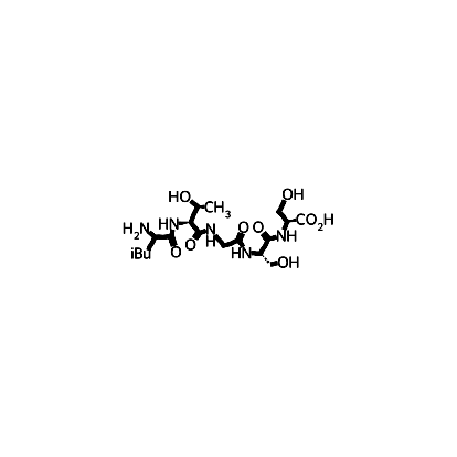 CCC(C)C(N)C(=O)N[C@H](C(=O)NCC(=O)N[C@@H](CO)C(=O)N[C@@H](CO)C(=O)O)[C@H](C)O